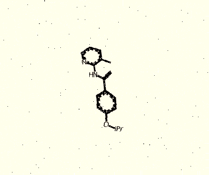 C=C(Nc1ncccc1C)c1ccc(OC(C)C)cc1